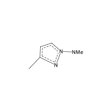 CNn1ccc(C)n1